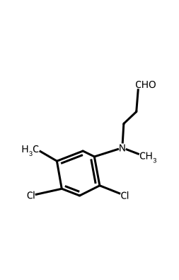 Cc1cc(N(C)CCC=O)c(Cl)cc1Cl